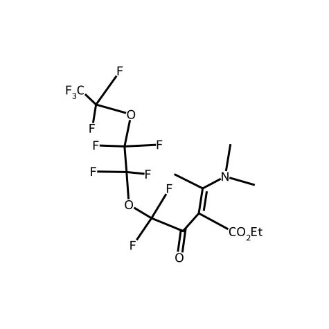 CCOC(=O)/C(C(=O)C(F)(F)OC(F)(F)C(F)(F)OC(F)(F)C(F)(F)F)=C(/C)N(C)C